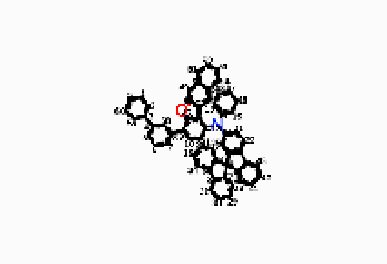 c1ccc(-c2cccc(-c3ccc(N(c4ccccc4)c4ccc5c(c4)C4(c6ccccc6-c6ccccc64)c4ccccc4-5)c4c3oc3cc5ccccc5cc34)c2)cc1